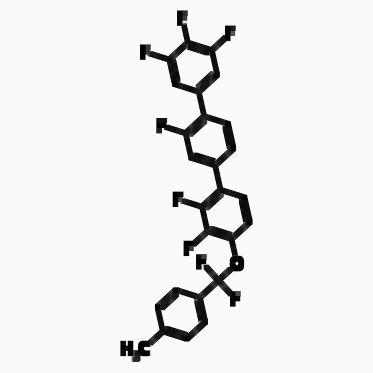 Cc1ccc(C(F)(F)Oc2ccc(-c3ccc(-c4cc(F)c(F)c(F)c4)c(F)c3)c(F)c2F)cc1